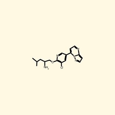 CC(C)CC(N)COc1ncc(-c2ccnc3ccnn23)cc1Cl